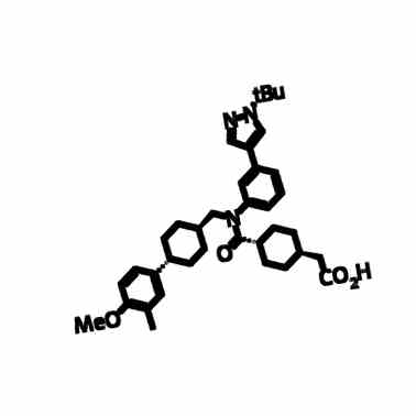 COc1ccc([C@H]2CC[C@H](CN(c3cccc(-c4cnn(C(C)(C)C)c4)c3)C(=O)[C@H]3CC[C@H](CC(=O)O)CC3)CC2)cc1C